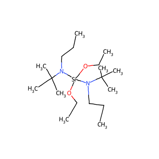 CCCN(C(C)(C)C)[Si](OCC)(OCC)N(CCC)C(C)(C)C